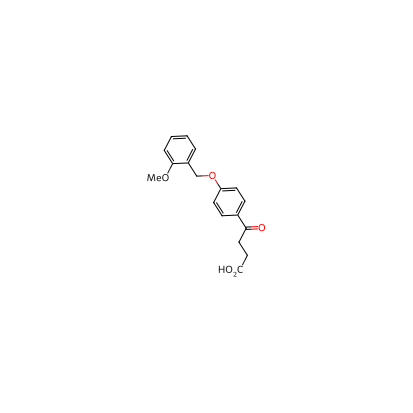 COc1ccccc1COc1ccc(C(=O)CCC(=O)O)cc1